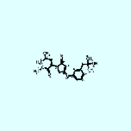 COC(=O)C(CC(C)C)N1CC(Oc2cccc(CC(C)(C)O)c2)=CC1=O